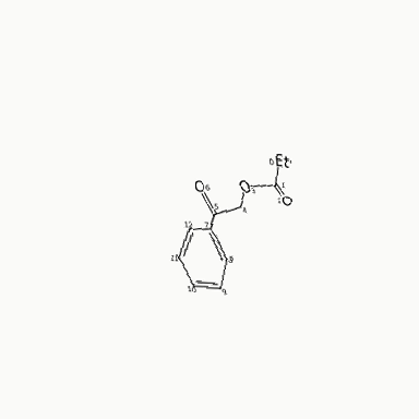 C[CH]C(=O)OCC(=O)c1ccccc1